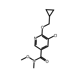 CON(C)C(=O)c1cnc(OCC2CC2)c(Cl)c1